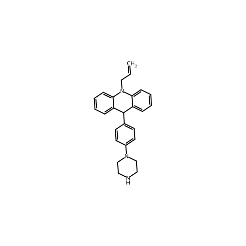 C=CCN1c2ccccc2C(c2ccc(N3CCNCC3)cc2)c2ccccc21